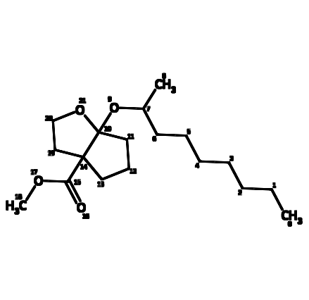 CCCCCCCC(C)OC12CCCC1(C(=O)OC)CCO2